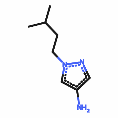 CC(C)CCn1cc(N)cn1